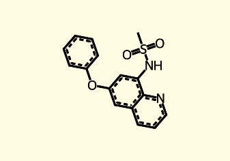 CS(=O)(=O)Nc1cc(Oc2ccccc2)cc2cccnc12